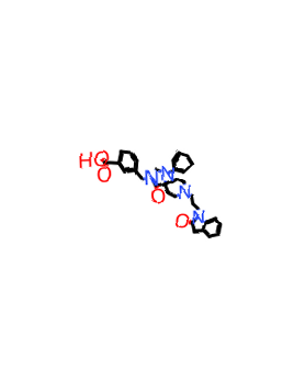 O=C(O)c1cccc(CN2CN(c3ccccc3)C3(CCN(CCCN4C(=O)Cc5ccccc54)CC3)C2=O)c1